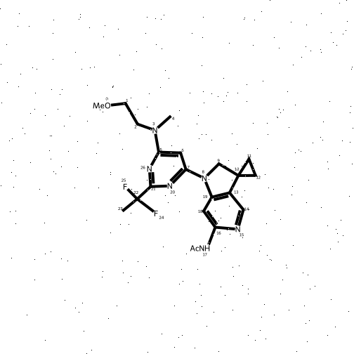 COCCN(C)c1cc(N2CC3(CC3)c3cnc(NC(C)=O)cc32)nc(C(C)(F)F)n1